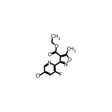 CCOC(=O)c1c(-c2ncc(Cl)cc2F)noc1C